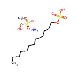 CCCCCCCCCCCCOS(=O)(=O)O.N.O=S(=O)(O)OO.[NaH]